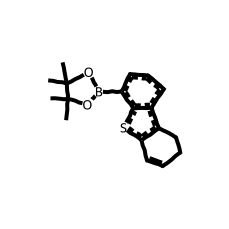 CC1(C)OB(c2cccc3c4c(sc23)C=CCC4)OC1(C)C